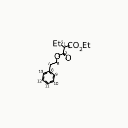 CCOC(=O)C(CC)C(=O)OCCc1ccccc1